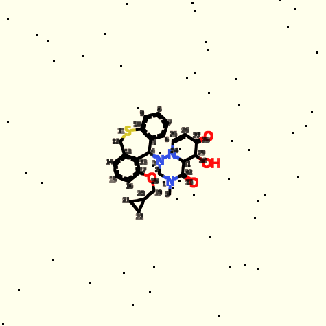 CN1CN([C@@H]2c3ccccc3SCc3cccc(OCC4CC4)c32)N2C=CC(=O)C(O)C2C1=O